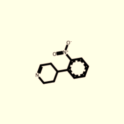 O=[N+]([O-])c1ccccc1C1CC=NCC1